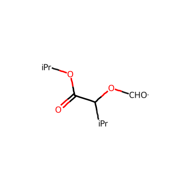 CC(C)OC(=O)C(O[C]=O)C(C)C